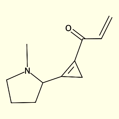 C=CC(=O)C1=C(C2CCCN2C)C1